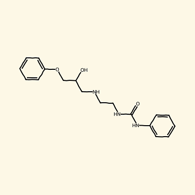 O=C(NCCNCC(O)COc1ccccc1)Nc1ccccc1